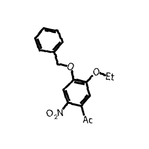 CCOc1cc(C(C)=O)c([N+](=O)[O-])cc1OCc1ccccc1